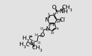 CNC(=O)c1cnc2c(ccn2COCC[Si](C)(C)C)c1Cl